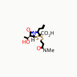 C=CCC1N2C(=O)[C@H](C(C)O)[C@H]2SC1(SCCC(=O)NC)C(=O)O